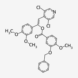 COc1ccc(/C(=C/c2c(Cl)cncc2Cl)OC(=O)c2ccc(OC)c(OCc3ccccc3)c2)cc1OC